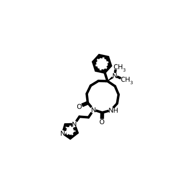 CN(C)[C@@]1(c2ccccc2)CCCNC(=O)N(CCn2ccnc2)C(=O)CCC1